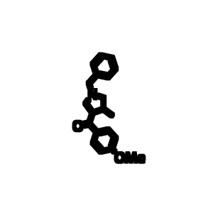 COc1ccc(C(=O)C2CN(Cc3ccccc3)CC2C)cc1